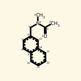 CC(=O)N(C)Cc1ccc2ccccc2c1